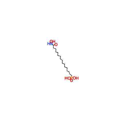 O=C(CCCCCCCCCCCCCCCCP(=O)(O)O)NO